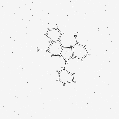 Brc1cc2c(c3ccccc13)c1c(Br)cccc1n2-c1ccccc1